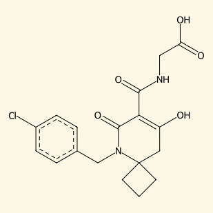 O=C(O)CNC(=O)C1=C(O)CC2(CCC2)N(Cc2ccc(Cl)cc2)C1=O